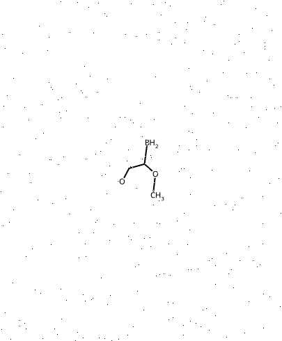 BC(C[O])OC